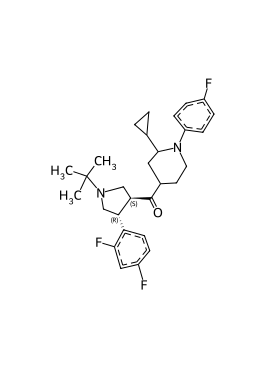 CC(C)(C)N1C[C@@H](C(=O)C2CCN(c3ccc(F)cc3)C(C3CC3)C2)[C@H](c2ccc(F)cc2F)C1